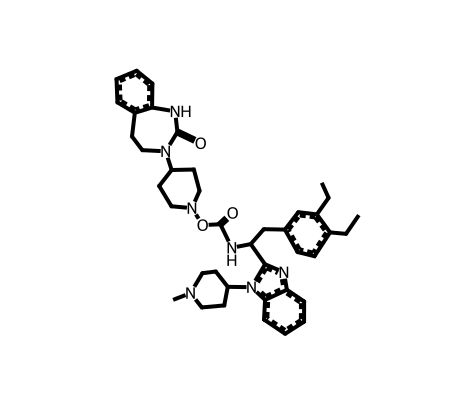 CCc1ccc(CC(NC(=O)ON2CCC(N3CCc4ccccc4NC3=O)CC2)c2nc3ccccc3n2C2CCN(C)CC2)cc1CC